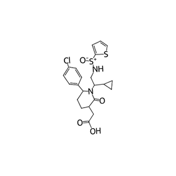 O=C(O)CC1CCC(c2ccc(Cl)cc2)N(C(CN[S+]([O-])c2cccs2)C2CC2)C1=O